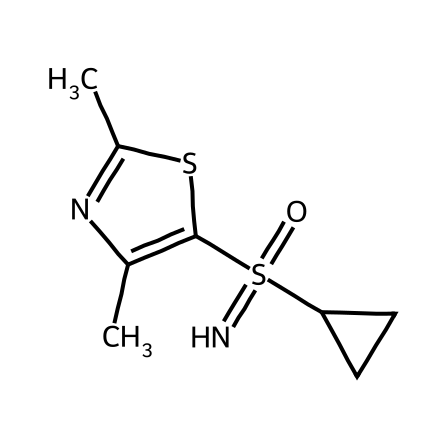 Cc1nc(C)c(S(=N)(=O)C2CC2)s1